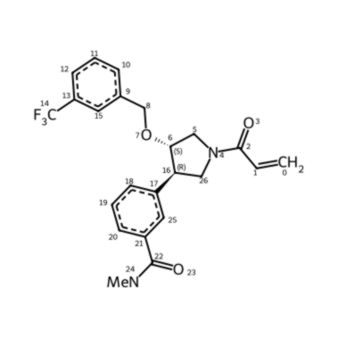 C=CC(=O)N1C[C@@H](OCc2cccc(C(F)(F)F)c2)[C@H](c2cccc(C(=O)NC)c2)C1